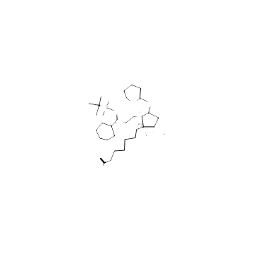 CC(C)(C)[Si](C)(C)O[C@@H](CC[C@H]1C(OC2CCCCO2)C[C@H](O)[C@]1(C)CCCCCCC(=O)O)C1CCCCC1